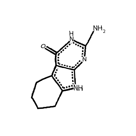 Nc1nc2[nH]c3c(c2c(=O)[nH]1)CCCC3